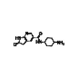 NC1CCC(NC(=O)c2cnc3c(c2)CC(=O)N3)CC1